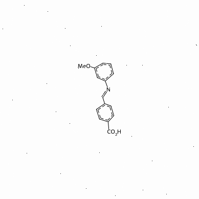 COc1cccc(N=Cc2ccc(C(=O)O)cc2)c1